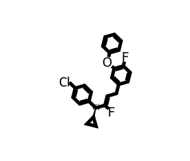 FC(=CCc1ccc(F)c(Oc2ccccc2)c1)[C@H](c1ccc(Cl)cc1)C1CC1